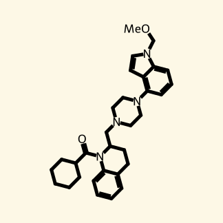 COCn1ccc2c(N3CCN(CC4CCc5ccccc5N4C(=O)C4CCCCC4)CC3)cccc21